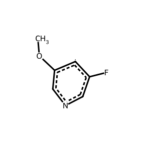 COc1[c]c(F)cnc1